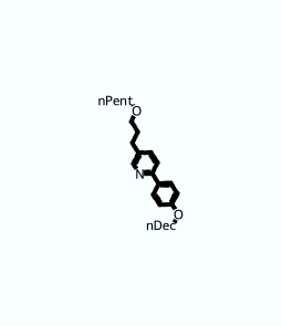 CCCCCCCCCCOc1ccc(-c2ccc(CCCOCCCCC)cn2)cc1